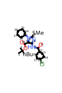 CCCCC(C)(C)OC(=O)c1c(NC(=O)c2ccc(Cl)cc2)nc(SC)n1-c1ccccc1